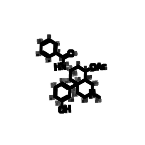 CC(=O)OC1C[C@@H](NC(=O)c2ccccc2)CC2(c3cccc(O)c3)CCN(C)CC12